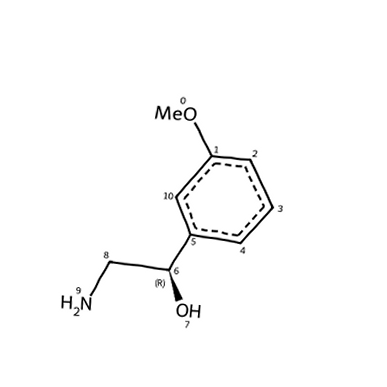 COc1cccc([C@@H](O)CN)c1